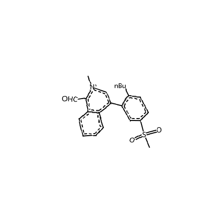 CCCCc1ccc(S(C)(=O)=O)cc1-c1c[n+](C)c(C=O)c2ccccc12